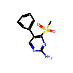 CS(=O)(=O)c1nc(N)ncc1-c1ccccc1